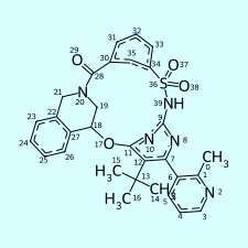 Cc1ncccc1-c1nc2nc(c1C(C)(C)C)OC1CN(Cc3ccccc31)C(=O)c1cccc(c1)S(=O)(=O)N2